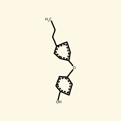 CCCc1ccc(Oc2ccc(O)cc2)cc1